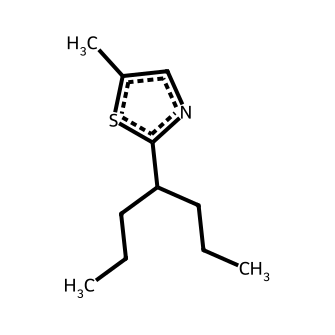 CCCC(CCC)c1ncc(C)s1